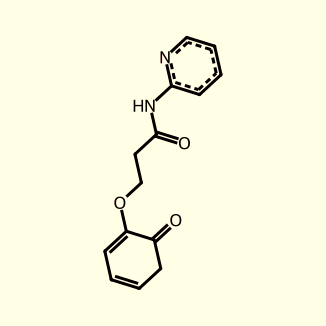 O=C(CCOC1=CC=CCC1=O)Nc1ccccn1